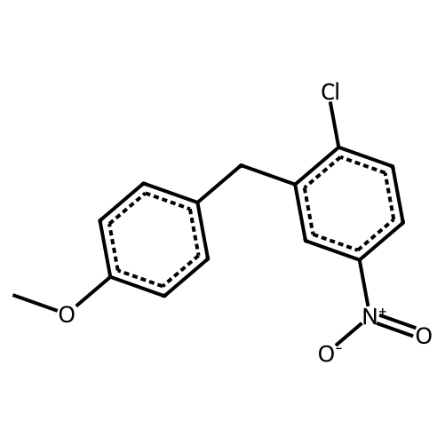 COc1ccc(Cc2cc([N+](=O)[O-])ccc2Cl)cc1